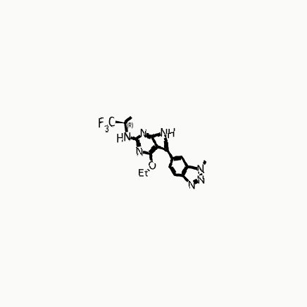 CCOc1nc(N[C@H](C)C(F)(F)F)nc2[nH]cc(-c3ccc4nnn(C)c4c3)c12